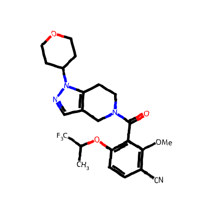 COc1c(C#N)ccc(OC(C)C(F)(F)F)c1C(=O)N1CCc2c(cnn2C2CCOCC2)C1